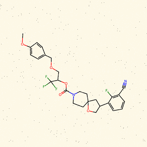 COc1ccc(COCC(OC(=O)N2CCC3(CC2)CC(c2cccc(C#N)c2F)CO3)C(F)(F)F)cc1